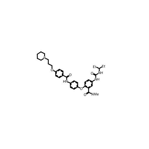 CCC(CC)NC(=O)Nc1ccc(Oc2ccc(NC(=O)c3ccc(OCCCN4CCCCC4)cc3)cc2)c(C(=O)NC)c1